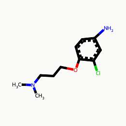 CN(C)CCCOc1ccc(N)cc1Cl